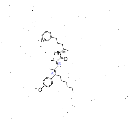 CCCCCC/C(=C(C)\C=C(/C)C(=O)N[C@H](C)CCCc1cccnc1)c1ccc(OC)cc1